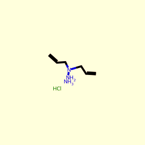 C=CCN(N)CC=C.Cl.N